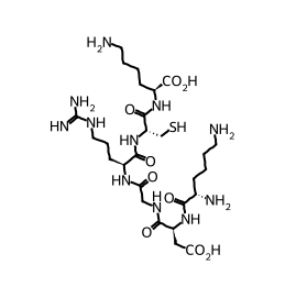 N=C(N)NCCC[C@H](NC(=O)CNC(=O)[C@H](CC(=O)O)NC(=O)[C@@H](N)CCCCN)C(=O)N[C@@H](CS)C(=O)N[C@@H](CCCCN)C(=O)O